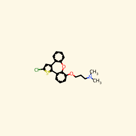 CN(C)CCCOc1cccc2c1Oc1ccccc1-c1cc(Cl)sc1-2